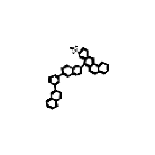 C[Si](C)(C)c1ccc2cc3c(ccc4ccccc43)c(-c3ccc4cc(-c5cccc(-c6ccc7ccccc7c6)c5)ccc4c3)c2c1